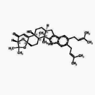 CC(C)=CCc1cc2[nH]c3c(c2cc1CC=C(C)C)C[C@@H]1CC[C@@]2(O)C4=CC(=O)[C@@H]5O[C@@]4(CC[C@]2(C)[C@@]31C)OC5(C)C